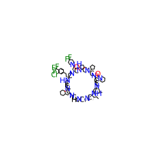 CC[C@H](C)[C@H]1CN(C)[C@@H](C)CN2CC[C@H]2CN(C)[C@@H](CC2CCCCC2)CN(C)CCN[C@@H](CCc2ccc(C(F)(F)F)c(Cl)c2)CN(C)[C@@H](CC(=O)N2CCC(F)(F)CC2)CNC2(CCCC2)CN(C)[C@@H](C2CCCC2)CN(C)[C@H](C(=O)N2CCCCC2)CCN(C)[C@@H](CC(C)C)CN1